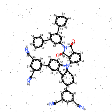 N#Cc1cc(C#N)cc(-c2ccc3c(c2)c2cc(-c4cc(C#N)cc(C#N)c4)ccc2n3-c2cccc3c2C(=O)N(c2cc(-c4ccccc4)cc(-c4ccccc4)c2)C3=O)c1